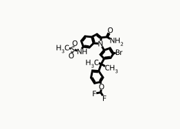 CC(C)(c1cccc(OC(F)F)c1)c1cc(Br)cc(-n2c(C(N)=O)cc3ccc(NS(C)(=O)=O)cc32)c1